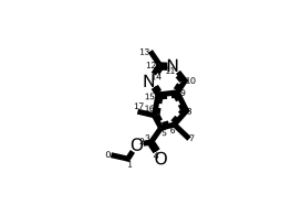 CCOC(=O)c1c(C)cc2cnc(C)nc2c1C